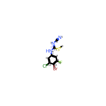 CS/C(=N\C#N)Nc1cc(F)c(Br)c(Cl)c1